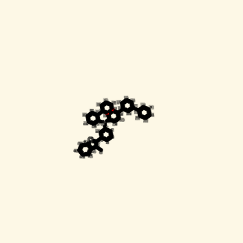 Cc1c(-c2cccc(N(c3ccc(-c4cccc(-c5ccccc5)c4)cc3)c3ccccc3-c3ccccc3)c2)oc2ccccc12